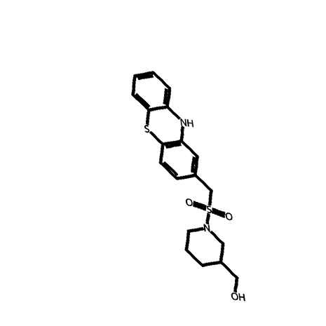 O=S(=O)(Cc1ccc2c(c1)Nc1ccccc1S2)N1CCCC(CO)C1